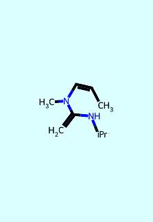 C=C(NC(C)C)N(C)/C=C\C